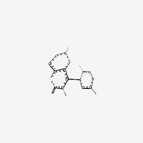 Nc1c(-c2cc(Cl)ccc2O)c2cc(C(F)(F)F)ccc2[nH]c1=O